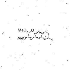 COC(=O)C(OC)Oc1cnc2ccc(I)cc2c1